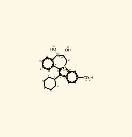 O=C(O)c1ccc2c(C3CCCCC3)c3n(c2c1)C[C@@H](O)[C@@H](O)c1ccccc1-3